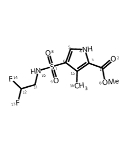 COC(=O)c1[nH]cc(S(=O)(=O)NCC(F)F)c1C